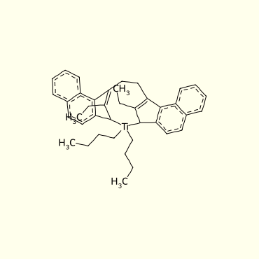 CCC[CH2][Ti]1([CH2]CCC)[CH]2C(CC)=C(CCC3=C(CC)[CH]1c1ccc4ccccc4c13)c1c2ccc2ccccc12